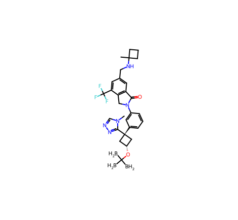 BC(B)(B)O[C@H]1C[C@@](c2cccc(N3Cc4c(cc(CNC5(C)CCC5)cc4C(F)(F)F)C3=O)c2)(c2nncn2C)C1